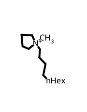 [CH2]CCCCCCCCC[N+]1(C)CCCC1